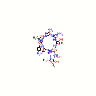 CC(=O)N[C@H](CN[C@H](CO)C(=O)N[C@H]1CCNC(=O)[C@H]([C@@H](C)O)NC(=O)[C@H](CCN)NC(=O)[C@H](CCN)NC(O)[C@H](CC(C)C)NC(=O)[C@@H](Cc2ccccc2)NC(=O)[C@H](CCN)NC1=O)[C@@H](C)O